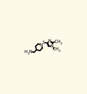 Cc1nc(SN2CCC(CN)CC2)cn1C